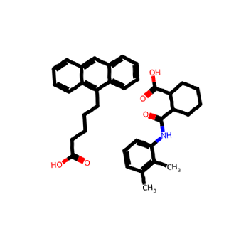 Cc1cccc(NC(=O)C2CCCCC2C(=O)O)c1C.O=C(O)CCCCc1c2ccccc2cc2ccccc12